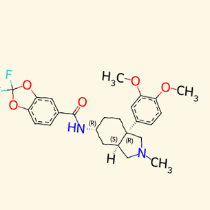 COc1ccc([C@@]23CC[C@@H](NC(=O)c4ccc5c(c4)OC(F)(F)O5)C[C@@H]2CN(C)C3)cc1OC